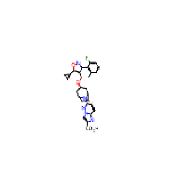 Cc1cccc(F)c1-c1noc(C2CC2)c1COC1CC2C[C@@H](C)C(C1)N2c1ccc2nc(C(=O)O)cn2n1